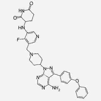 Nc1ncnc2c1c(-c1ccc(Oc3ccccc3)cc1)nn2C1CCN(Cc2cncc(NC3CCC(=O)NC3=O)c2F)CC1